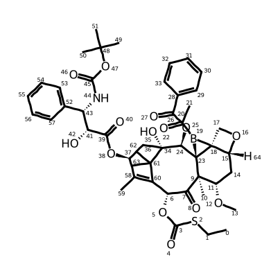 CCSC(=O)O[C@H]1C(=O)[C@]2(C)[C@@H](OC)C[C@H]3OC[C@]34B(C(C)=O)[C@@]42[C@H](OC(=O)c2ccccc2)[C@]2(O)C[C@H](OC(=O)[C@H](O)[C@@H](NC(=O)OC(C)(C)C)c3ccccc3)C(C)=C1C2(C)C